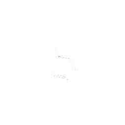 CC1C=NN=CO1